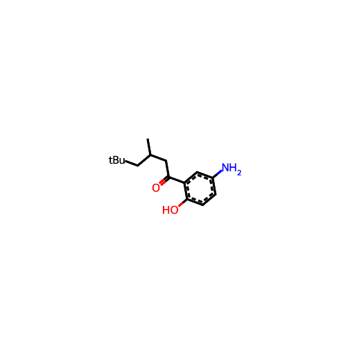 CC(CC(=O)c1cc(N)ccc1O)CC(C)(C)C